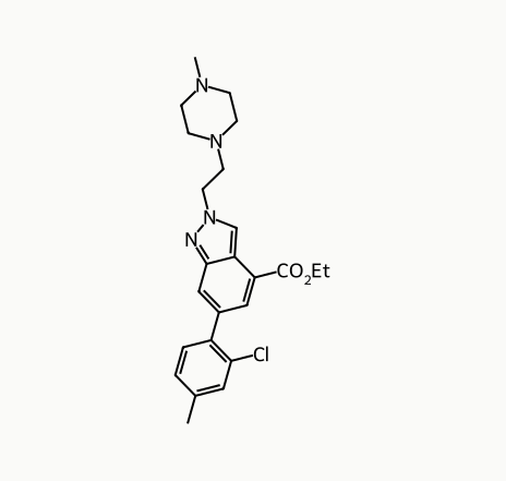 CCOC(=O)c1cc(-c2ccc(C)cc2Cl)cc2nn(CCN3CCN(C)CC3)cc12